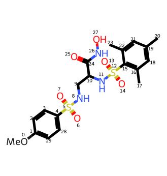 COc1ccc(S(=O)(=O)NCC(NS(=O)(=O)c2c(C)cc(C)cc2C)C(=O)NO)cc1